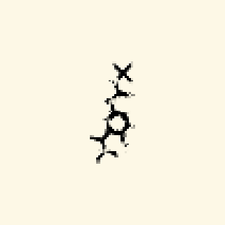 CC(c1nc(NC(=O)OC(C)(C)C)ccc1Br)N(C)C